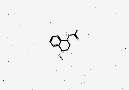 CO[C@H]1CC[C@H](NC(C)=O)c2ccccc21